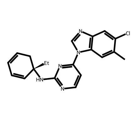 CC[C@@]1(Nc2nccc(-n3cnc4cc(Cl)c(C)cc43)n2)C=CC=CC1